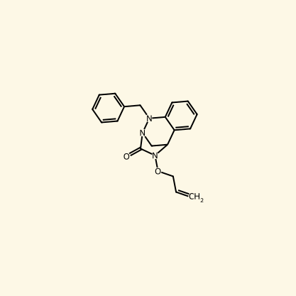 C=CCON1C(=O)N2CC1c1ccccc1N2Cc1ccccc1